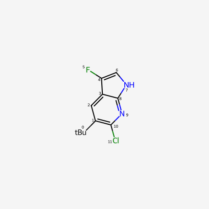 CC(C)(C)c1cc2c(F)c[nH]c2nc1Cl